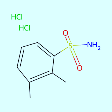 Cc1cccc(S(N)(=O)=O)c1C.Cl.Cl